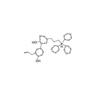 C=CCc1cc(-c2cc(CCC[PH](c3ccccc3)(c3ccccc3)c3ccccc3)ccc2O)ccc1O